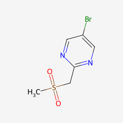 CS(=O)(=O)Cc1ncc(Br)cn1